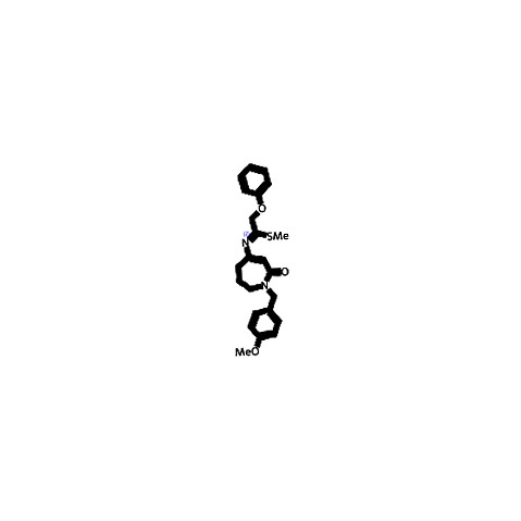 COc1ccc(CN2CCCC(/N=C(/COc3ccccc3)SC)=CC2=O)cc1